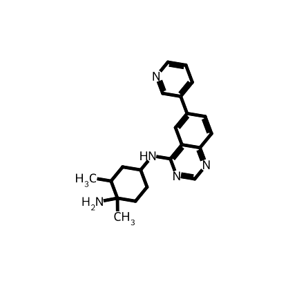 CC1CC(Nc2ncnc3ccc(-c4cccnc4)cc23)CCC1(C)N